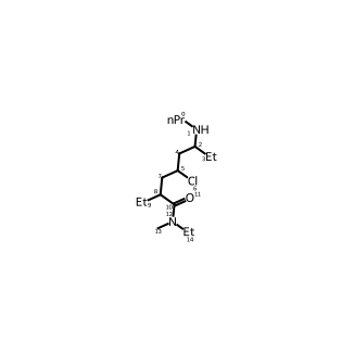 CCCNC(CC)CC(Cl)CC(CC)C(=O)N(C)CC